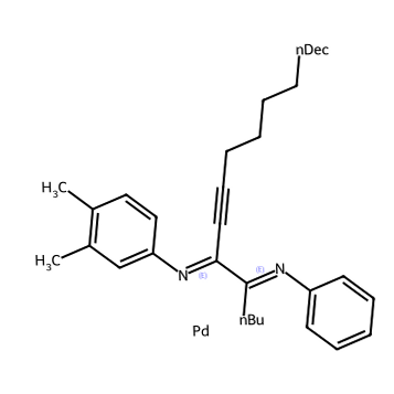 CCCCCCCCCCCCCCC#CC(=N\c1ccc(C)c(C)c1)/C(CCCC)=N/c1ccccc1.[Pd]